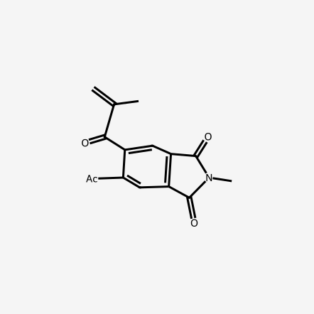 C=C(C)C(=O)c1cc2c(cc1C(C)=O)C(=O)N(C)C2=O